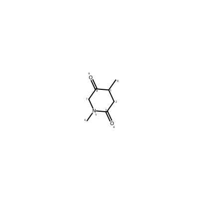 CC1CC(=O)N(C)CC1=O